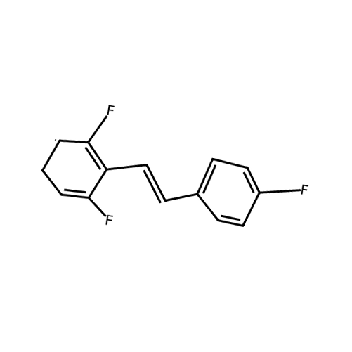 FC1=CC[CH]C(F)=C1C=Cc1ccc(F)cc1